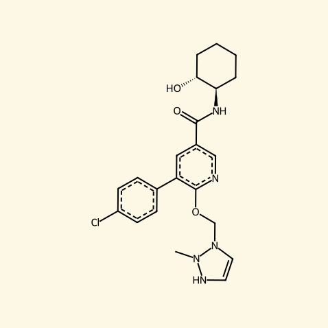 CN1NC=CN1COc1ncc(C(=O)N[C@@H]2CCCC[C@H]2O)cc1-c1ccc(Cl)cc1